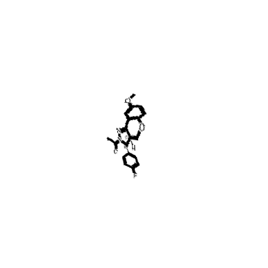 COc1ccc2c(c1)C1=NN(C(C)=O)[C@@H](c3ccc(F)cc3)[C@@H]1CO2